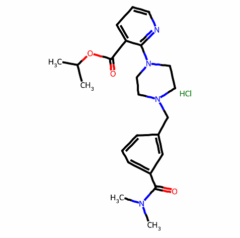 CC(C)OC(=O)c1cccnc1N1CCN(Cc2cccc(C(=O)N(C)C)c2)CC1.Cl